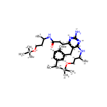 CCCCC(CCO[Si](C)(C)C(C)(C)C)NC(=O)CCc1nc(N)nc(NC(CCCC)CCO[Si](C)(C)C(C)(C)C)c1Cc1cc(CC#N)ccc1OC